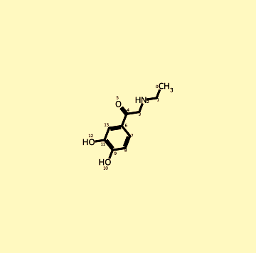 CCNCC(=O)c1ccc(O)c(O)c1